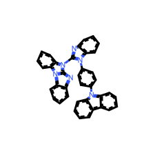 c1ccc2c(c1)nc(-n1c3ccccc3n3c4ccccc4nc13)n2-c1ccc(-n2c3ccccc3c3ccccc32)cc1